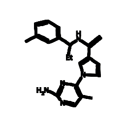 C=C(NC(CC)c1cccc(C)c1)c1ccn(-c2nc(N)ncc2C)c1